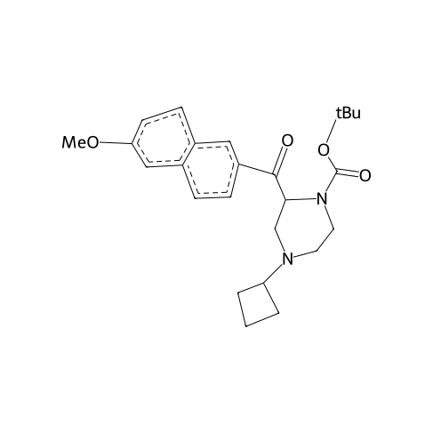 COc1ccc2cc(C(=O)C3CN(C4CCC4)CCN3C(=O)OC(C)(C)C)ccc2c1